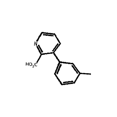 Cc1cccc(-c2cccnc2C(=O)O)c1